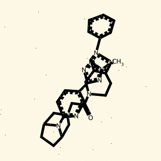 Cn1nnc(-c2ccc(N3C4CCC3CN(CC(=O)N3CCc5nn(-c6ccccc6)cc5C3)C4)nc2)n1